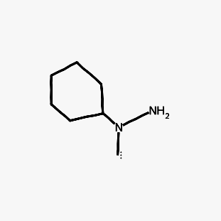 [C]N(N)C1CCCCC1